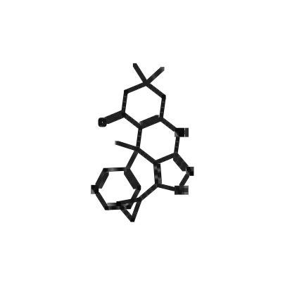 CC1(C)CC(=O)C2=C(C1)Nc1n[nH]c(C3CC3)c1C2(C)c1cccnc1